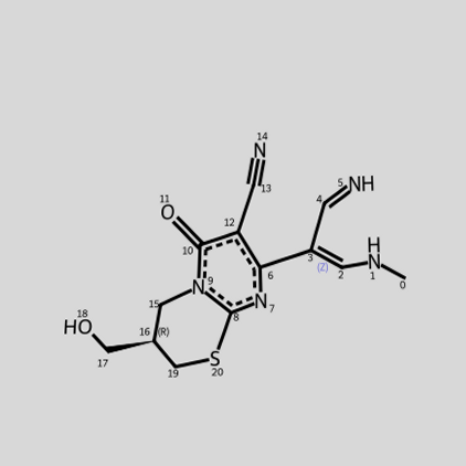 CN/C=C(\C=N)c1nc2n(c(=O)c1C#N)C[C@H](CO)CS2